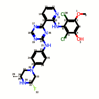 COc1cc(O)c(Cl)c(Nc2ncccc2-c2ncnc(Nc3ccc(N4C[C@@H](C)N[C@@H](F)C4)cc3)n2)c1Cl